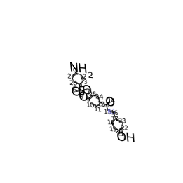 Nc1ccc(S(=O)(=O)Oc2ccc(C(=O)/C=C/c3ccc(O)cc3)cc2)cc1